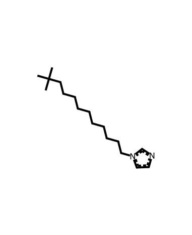 CC(C)(C)CCCCCCCCCCn1ccnc1